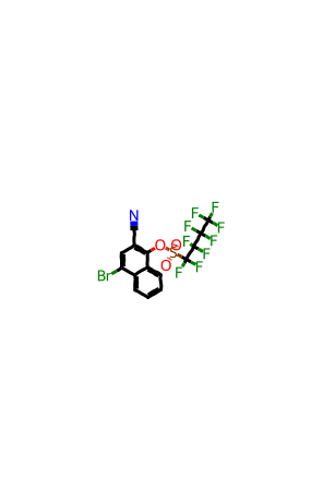 N#Cc1cc(Br)c2ccccc2c1OS(=O)(=O)C(F)(F)C(F)(F)C(F)(F)C(F)(F)F